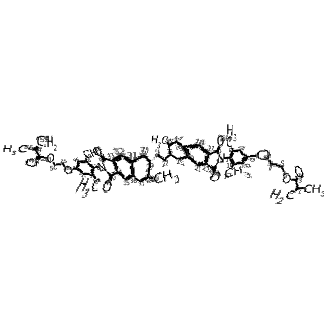 C=C(C)C(=O)OCCOc1cc(C)c(N2C(=O)c3cc4c(cc3C2=O)CC(CC[C@H]2Cc3cc5c(cc3C=C2C)C(=O)N(c2c(C)cc(OCCOC(=O)C(=C)C)cc2C)C5=O)C(C)=C4)c(C)c1